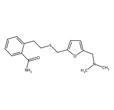 CN(C)Cc1ccc(CSCCc2ccccc2C(N)=O)o1